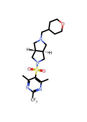 Cc1nc(C(F)(F)F)nc(C)c1S(=O)(=O)N1C[C@@H]2CN(CC3CCOCC3)C[C@H]2C1